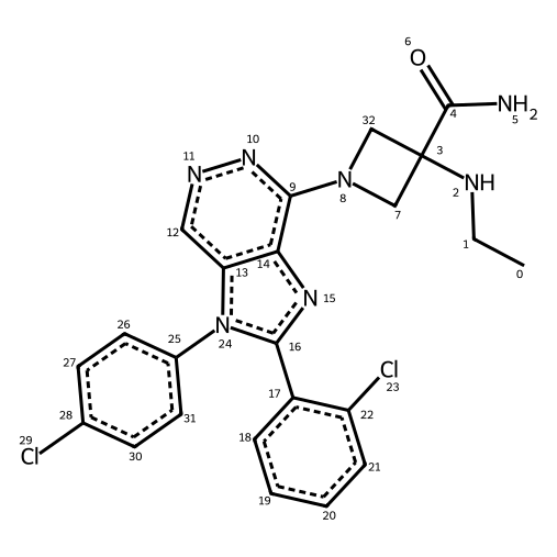 CCNC1(C(N)=O)CN(c2nncc3c2nc(-c2ccccc2Cl)n3-c2ccc(Cl)cc2)C1